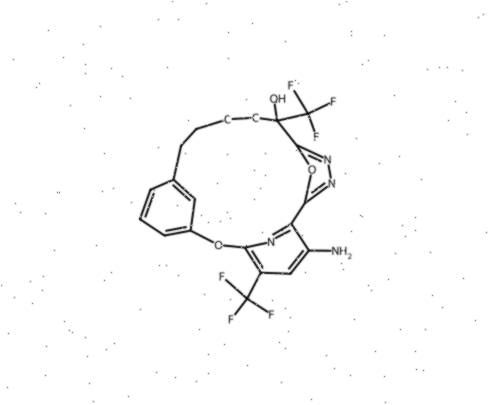 Nc1cc(C(F)(F)F)c2nc1-c1nnc(o1)C(O)(C(F)(F)F)CCCCc1cccc(c1)O2